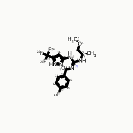 COC[C@H](C)N/C(=N/C(=O)c1ccc(F)cc1)Nc1cc(C(F)(F)F)[nH]n1